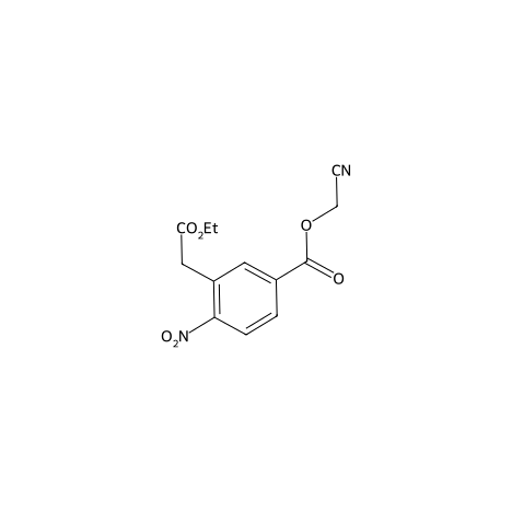 CCOC(=O)Cc1cc(C(=O)OCC#N)ccc1[N+](=O)[O-]